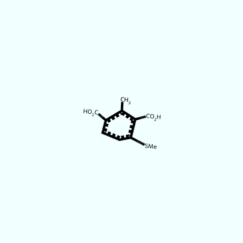 CSc1ccc(C(=O)O)c(C)c1C(=O)O